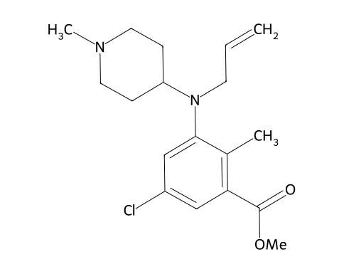 C=CCN(c1cc(Cl)cc(C(=O)OC)c1C)C1CCN(C)CC1